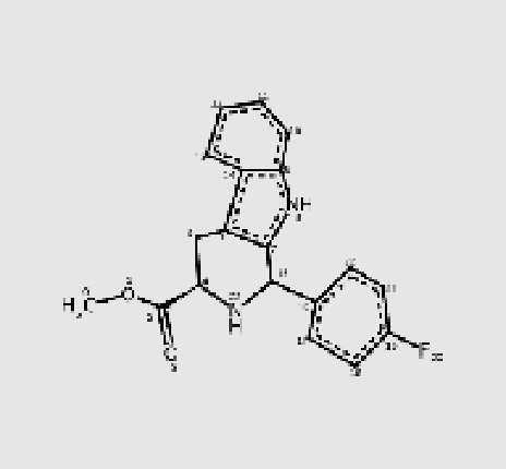 COC(=O)[C@H]1Cc2c([nH]c3ccccc23)C(c2ccc(F)cc2)N1